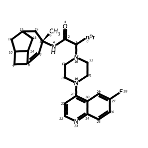 CCCC(C(=O)N[C@]1(C)C=C2CC3CC(CC23)C1)N1CCN(c2ccnc3ccc(F)cc23)CC1